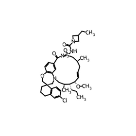 CCC[C@H]1[C@@H](OC)/C=C/C[C@H](C)CS(=O)(NC(=O)N2CC(CC)C2)=NC(=O)c2ccc3c(c2)N(C[C@@H]1C)C[C@@]1(CCCc2cc(Cl)ccc21)CO3